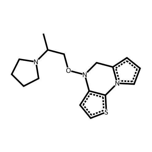 CC(CON1Cc2cccn2-c2sccc21)N1CCCC1